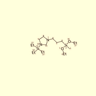 CCO[Si](C)(CCCN1CCN([Si](CC)(CC)CC)C1)OCC